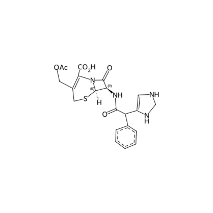 CC(=O)OCC1=C(C(=O)O)N2C(=O)[C@@H](NC(=O)C(C3=CNCN3)c3ccccc3)[C@H]2SC1